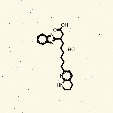 Cl.O=C(O)CC(CCCCCCc1ccc2c(n1)NCCC2)c1nc2ccccc2s1